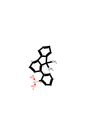 CC1(C)c2ccccc2-c2cccc(-c3ccccc3B(O)O)c21